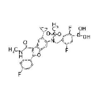 CNC(=O)c1c(-c2ccc(F)cc2)oc2cc(N(Cc3cc(F)c(B(O)O)cc3F)S(C)(=O)=O)c(C3CC3)cc12